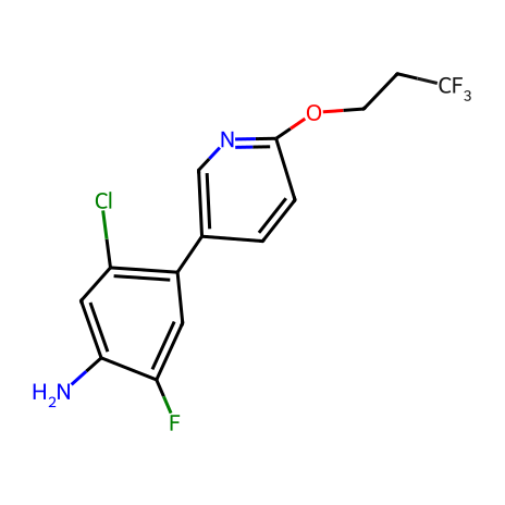 Nc1cc(Cl)c(-c2ccc(OCCC(F)(F)F)nc2)cc1F